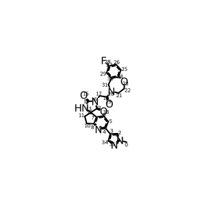 Cn1cc(-c2ccc3c(n2)CCC32NC(=O)N(CC(=O)N3CCOc4ccc(F)cc4C3)C2=O)cn1